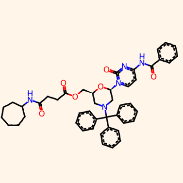 O=C(CCC(=O)OC[C@@H]1CN(C(c2ccccc2)(c2ccccc2)c2ccccc2)C[C@H](n2ccc(NC(=O)c3ccccc3)nc2=O)O1)NC1CCCCCC1